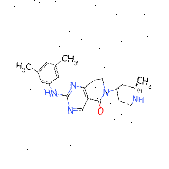 Cc1cc(C)cc(Nc2ncc3c(n2)CCN(C2CCN[C@H](C)C2)C3=O)c1